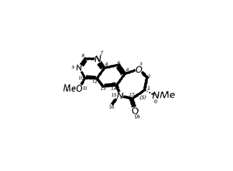 CN[C@H]1COc2cc3ncnc(OC)c3cc2N(C)C1=O